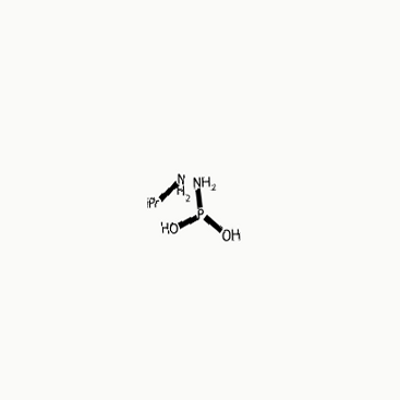 CC(C)N.NP(O)O